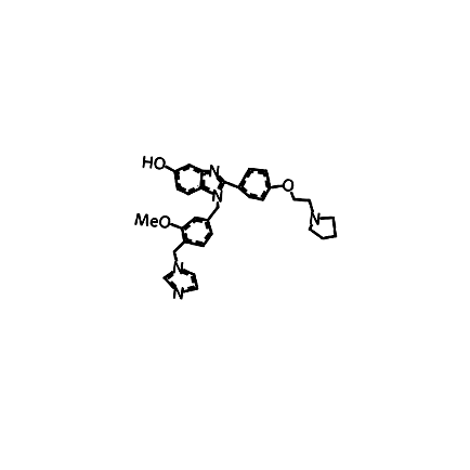 COc1cc(Cn2c(-c3ccc(OCCN4CCCC4)cc3)nc3cc(O)ccc32)ccc1Cn1ccnc1